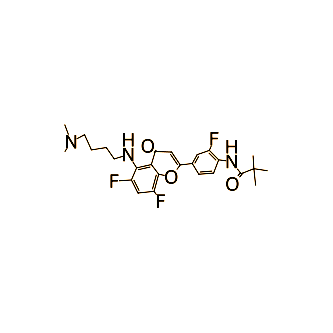 CN(C)CCCCNc1c(F)cc(F)c2oc(-c3ccc(NC(=O)C(C)(C)C)c(F)c3)cc(=O)c12